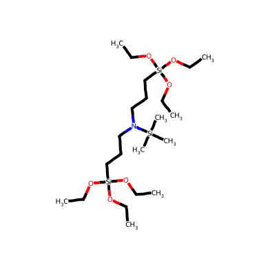 CCO[Si](CCCN(CCC[Si](OCC)(OCC)OCC)[Si](C)(C)C)(OCC)OCC